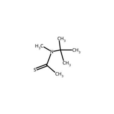 CC(=S)N(C)C(C)(C)C